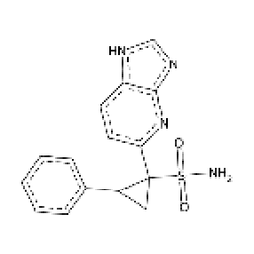 NS(=O)(=O)C1(c2ccc3[nH]cnc3n2)CC1c1ccccc1